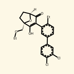 CCOC[C@]12CC[C@H](O1)C(=O)C(c1cc(-c3ccc(Cl)c(Cl)c3)ccc1CC)=C2O